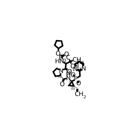 C=C[C@@H]1C[C@]1(NC(=O)[C@@H]1CCCN1C(=O)C(NC(=O)OC1CCCC1)C(C)(C)C)P(=O)(O)Cc1ncccn1